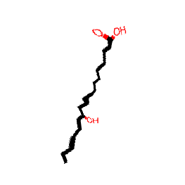 CCC=CC=CC(O)CC=CCCCCCCCC(=O)O